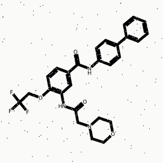 O=C(CN1CCOCC1)Nc1cc(C(=O)Nc2ccc(-c3ccccc3)cc2)ccc1OCC(F)(F)F